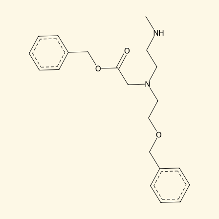 CNCCN(CCOCc1ccccc1)CC(=O)OCc1ccccc1